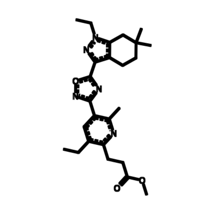 CCc1cc(-c2noc(-c3nn(CC)c4c3CCC(C)(C)C4)n2)c(C)nc1CCC(=O)OC